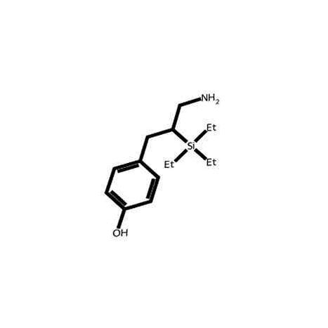 CC[Si](CC)(CC)C(CN)Cc1ccc(O)cc1